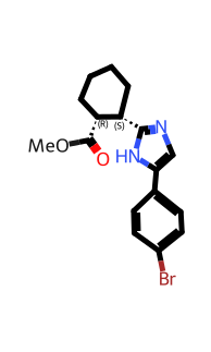 COC(=O)[C@@H]1CCCC[C@@H]1c1ncc(-c2ccc(Br)cc2)[nH]1